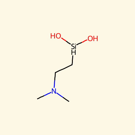 CN(C)CC[SiH](O)O